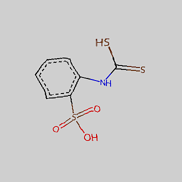 O=S(=O)(O)c1ccccc1NC(=S)S